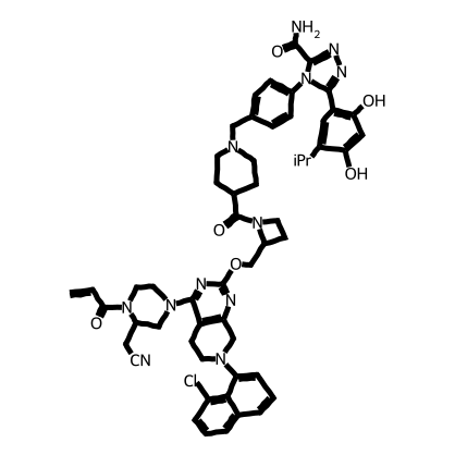 C=CC(=O)N1CCN(c2nc(OCC3CCN3C(=O)C3CCN(Cc4ccc(-n5c(C(N)=O)nnc5-c5cc(C(C)C)c(O)cc5O)cc4)CC3)nc3c2CCN(c2cccc4cccc(Cl)c24)C3)CC1CC#N